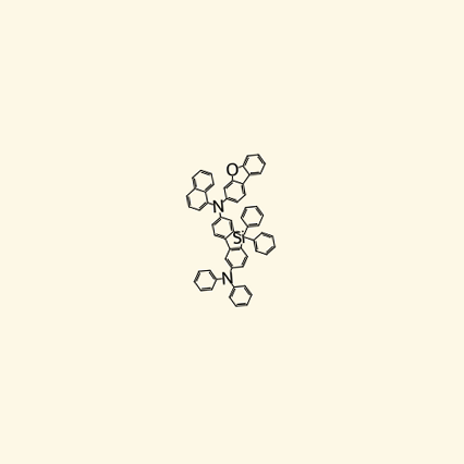 c1ccc(N(c2ccccc2)c2ccc3c(c2)-c2ccc(N(c4ccc5c(c4)oc4ccccc45)c4cccc5ccccc45)cc2[Si]3(c2ccccc2)c2ccccc2)cc1